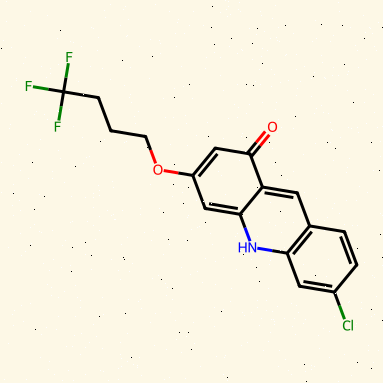 O=c1cc(OCCCC(F)(F)F)cc2[nH]c3cc(Cl)ccc3cc1-2